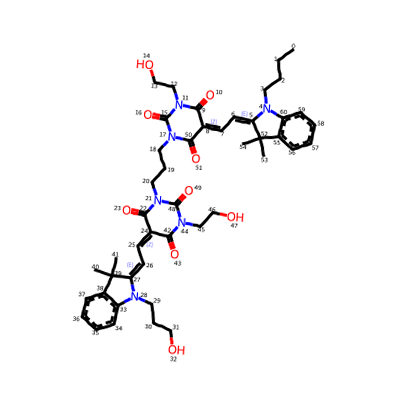 CCCCN1/C(=C/C=C2\C(=O)N(CCO)C(=O)N(CCCN3C(=O)/C(=C/C=C4/N(CCCO)c5ccccc5C4(C)C)C(=O)N(CCO)C3=O)C2=O)C(C)(C)c2ccccc21